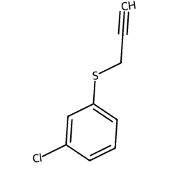 C#CCSc1cccc(Cl)c1